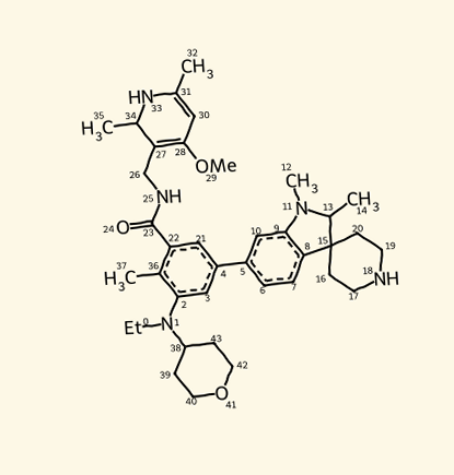 CCN(c1cc(-c2ccc3c(c2)N(C)C(C)C32CCNCC2)cc(C(=O)NCC2=C(OC)C=C(C)NC2C)c1C)C1CCOCC1